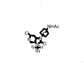 [2H]C([2H])([2H])n1c(=O)n(C23CCC(NC(C)=O)(CC2)CC3)c2cc(Cl)ncc21